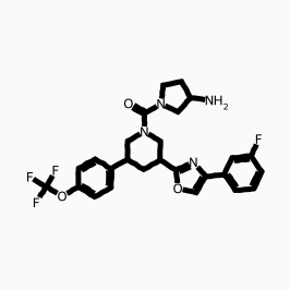 NC1CCN(C(=O)N2CC(c3ccc(OC(F)(F)F)cc3)CC(c3nc(-c4cccc(F)c4)co3)C2)C1